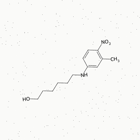 Cc1cc(NCCCCCCO)ccc1[N+](=O)[O-]